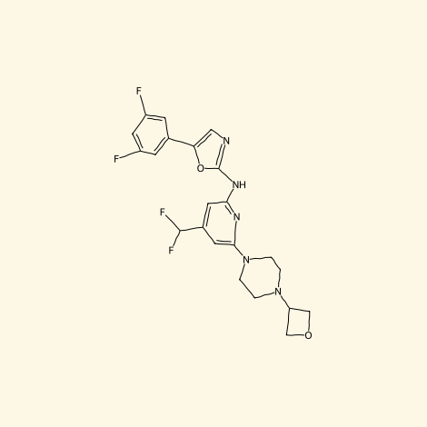 Fc1cc(F)cc(-c2cnc(Nc3cc(C(F)F)cc(N4CCN(C5COC5)CC4)n3)o2)c1